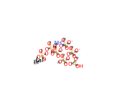 O=S(=O)([O-])OOS(=O)(=O)[O-].O=S(=O)([O-])OOS(=O)(=O)[O-].O=S(=O)([O-])OOS(=O)(=O)[O-].O=S([O-])O.[Fe+3].[Fe+3].[NH4+]